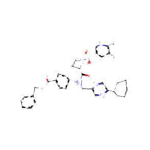 O=C(OCc1ccccc1)c1ccc(N(Cc2cnc(C3CCCCC3)cn2)C(=O)[C@H]2CCN2S(=O)(=O)c2cnc(F)c(F)c2)cc1